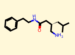 CC(C)C[C@H](CN)CC(=O)NCCc1ccccc1